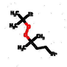 CCC(C)(C)OOC(C)(C)CC[C](C)C